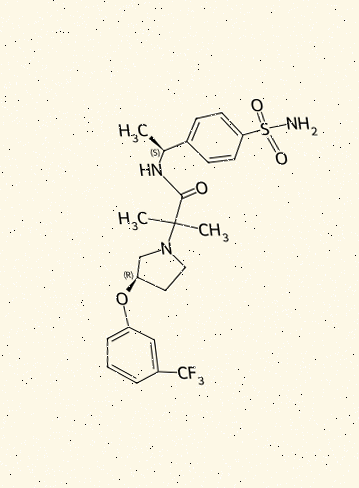 C[C@H](NC(=O)C(C)(C)N1CC[C@@H](Oc2cccc(C(F)(F)F)c2)C1)c1ccc(S(N)(=O)=O)cc1